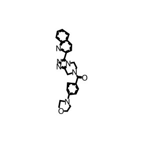 O=C(c1ccc(N2CCOCC2)cc1)N1CCn2c(nnc2-c2ccc3ccccc3n2)C1